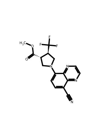 COC(=O)[C@H]1CN(c2ccc(C#N)c3nccnc23)C[C@@H]1C(F)(F)F